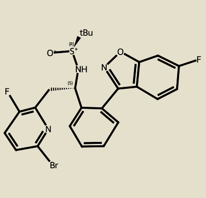 CC(C)(C)[S@+]([O-])N[C@@H](Cc1nc(Br)ccc1F)c1ccccc1-c1noc2cc(F)ccc12